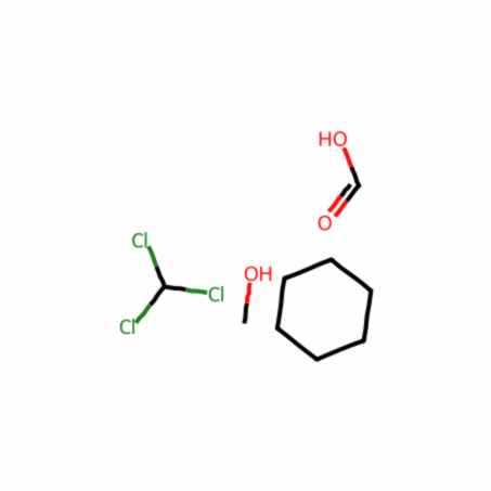 C1CCCCC1.CO.ClC(Cl)Cl.O=CO